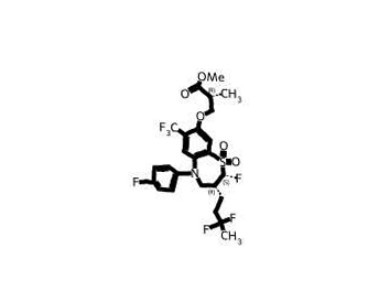 COC(=O)[C@H](C)COc1cc2c(cc1C(F)(F)F)N(c1ccc(F)cc1)C[C@@H](CCC(C)(F)F)[C@@H](F)S2(=O)=O